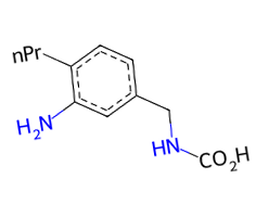 CCCc1ccc(CNC(=O)O)cc1N